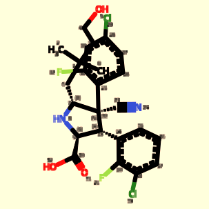 CC(C)(CCO)C[C@H]1N[C@H](C(=O)O)[C@@H](c2cccc(Cl)c2F)[C@]1(C#N)c1ccc(Cl)cc1F